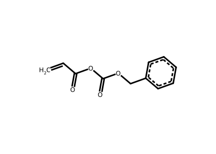 C=CC(=O)OC(=O)OCc1ccccc1